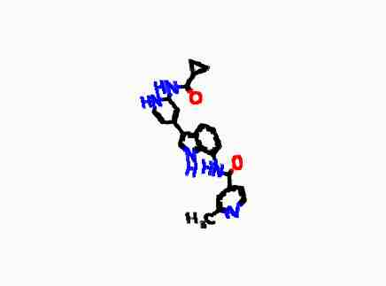 Cc1cc(C(=O)Nc2cccc3c(C4=CC(NC(=O)C5CC5)NC=C4)c[nH]c23)ccn1